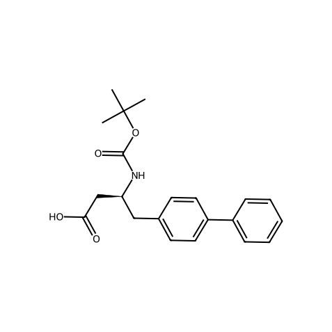 CC(C)(C)OC(=O)N[C@H](CC(=O)O)Cc1ccc(-c2ccccc2)cc1